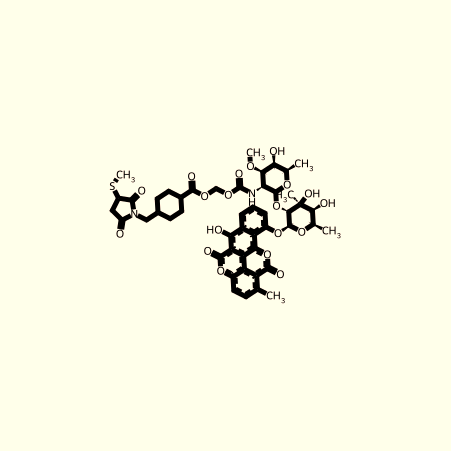 CO[C@H]1[C@@H](O)[C@@H](C)OC(O[C@H]2[C@H](Oc3cccc4c(O)c5c(=O)oc6ccc(C)c7c(=O)oc(c34)c5c67)O[C@H](C)[C@H](O)[C@]2(C)O)[C@@H]1NC(=O)OCOC(=O)C1CCC(CN2C(=O)CC(SC)C2=O)CC1